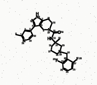 Cc1cc(-c2n[nH]c3c2CN(C(=O)NC2(C)CCCN(Cc4c(F)cccc4F)C2)CC3)ccn1